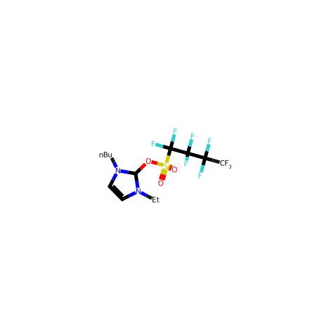 CCCCN1C=CN(CC)C1OS(=O)(=O)C(F)(F)C(F)(F)C(F)(F)C(F)(F)F